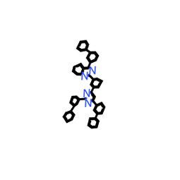 c1ccc(-c2cccc(-c3cc(-c4cccc(-c5nc(-c6cccc(-c7ccccc7)c6)c6ccccc6n5)c4)nc(-c4cccc(-c5ccccc5)c4)n3)c2)cc1